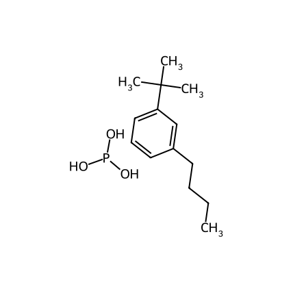 CCCCc1cccc(C(C)(C)C)c1.OP(O)O